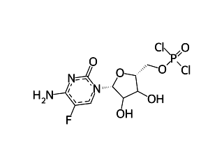 Nc1nc(=O)n([C@@H]2O[C@H](COP(=O)(Cl)Cl)C(O)C2O)cc1F